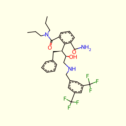 CCCN(CCC)C(=O)c1cccc(C(N)=O)c1[C@H](Cc1ccccc1)[C@@H](O)CNCc1cc(C(F)(F)F)cc(C(F)(F)F)c1